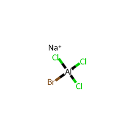 [Cl][Al-]([Cl])([Cl])[Br].[Na+]